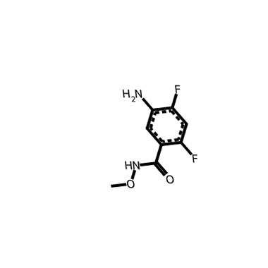 CONC(=O)c1cc(N)c(F)cc1F